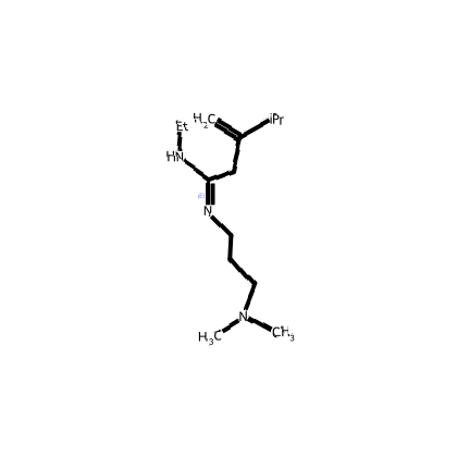 C=C(C/C(=N\CCCN(C)C)NCC)C(C)C